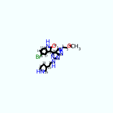 COCCn1cc2c(C3C(=O)Nc4ccc(Br)cc43)nc(NCCC3CCCNC3)nc2n1